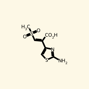 CS(=O)(=O)C=C(C(=O)O)c1csc(N)n1